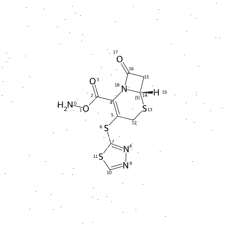 NOC(=O)C1=C(Sc2nncs2)CS[C@H]2CC(=O)N12